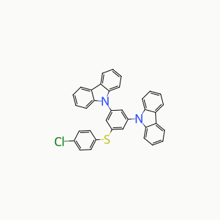 Clc1ccc(Sc2cc(-n3c4ccccc4c4ccccc43)cc(-n3c4ccccc4c4ccccc43)c2)cc1